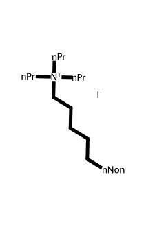 CCCCCCCCCCCCCC[N+](CCC)(CCC)CCC.[I-]